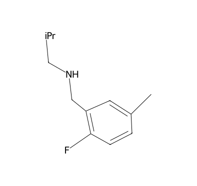 Cc1ccc(F)c(CNCC(C)C)c1